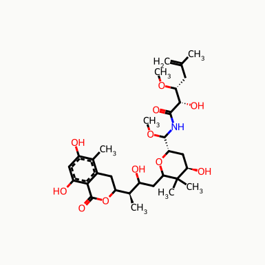 C=C(C)C[C@@H](OC)[C@H](O)C(=O)NC(OC)[C@@H]1C[C@@H](O)C(C)(C)C(CC(O)[C@@H](C)C2Cc3c(C)c(O)cc(O)c3C(=O)O2)O1